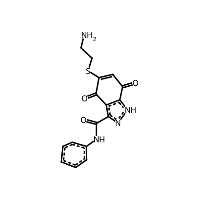 NCCSC1=CC(=O)c2[nH]nc(C(=O)Nc3ccccc3)c2C1=O